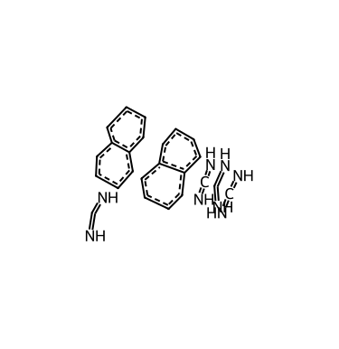 N=C=N.N=C=N.N=C=N.N=C=N.c1ccc2ccccc2c1.c1ccc2ccccc2c1